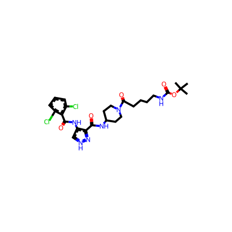 CC(C)(C)OC(=O)NCCCCC(=O)N1CCC(NC(=O)c2n[nH]cc2NC(=O)c2c(Cl)cccc2Cl)CC1